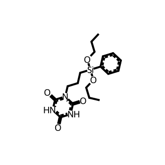 CCCO[Si](CCCn1c(=O)[nH]c(=O)[nH]c1=O)(OCCC)c1ccccc1